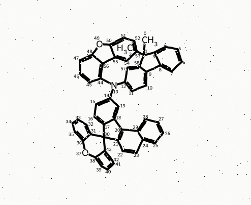 CC1(C)c2ccccc2-c2ccc(N(c3ccc4c(c3)-c3c(ccc5ccccc35)C43c4ccccc4Oc4ccccc43)c3cccc4oc5ccccc5c34)cc21